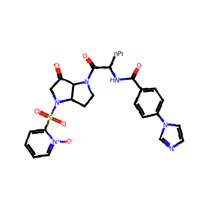 CCCC(NC(=O)c1ccc(-n2ccnc2)cc1)C(=O)N1CCC2C1C(=O)CN2S(=O)(=O)c1cccc[n+]1[O-]